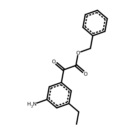 CCc1cc(N)cc(C(=O)C(=O)OCc2ccccc2)c1